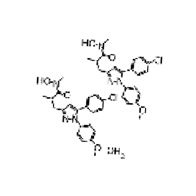 COc1ccc(-n2nc(CC(C)C(=O)N(C)O)cc2-c2ccc(Cl)cc2)cc1.COc1ccc(-n2nc(CC(C)C(=O)N(C)O)cc2-c2ccc(Cl)cc2)cc1.O